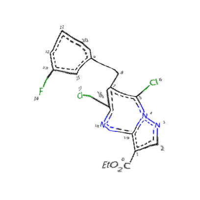 CCOC(=O)c1cnn2c(Cl)c(Cc3cccc(F)c3)c(Cl)nc12